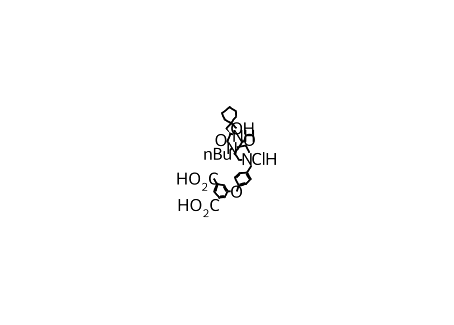 CCCCN1C(=O)[C@@H](CC2(O)CCCCC2)NC(=O)C12CCN(Cc1ccc(Oc3cc(C(=O)O)cc(C(=O)O)c3)cc1)CC2.Cl